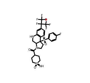 N=S1(=O)CCC(C(=O)N2CCC3(S(=O)(=O)c4ccc(F)cc4)c4ccc(C(F)(C(F)(F)F)C(F)(F)F)cc4NCC23)CC1